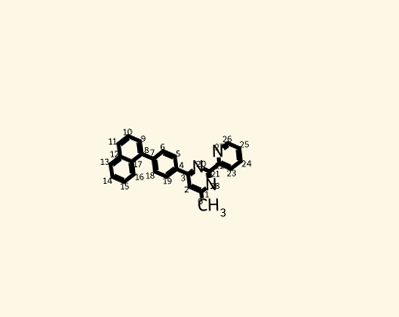 Cc1cc(-c2ccc(-c3cccc4ccccc34)cc2)nc(-c2ccccn2)n1